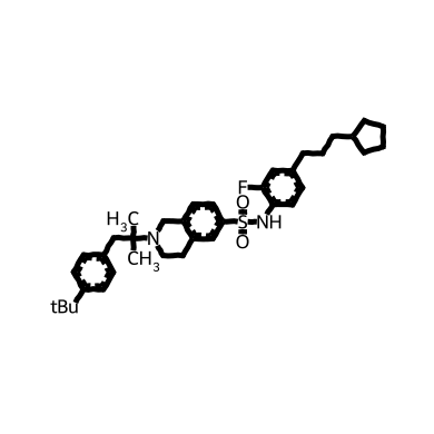 CC(C)(C)c1ccc(CC(C)(C)N2CCc3cc(S(=O)(=O)Nc4ccc(CCCC5CCCC5)cc4F)ccc3C2)cc1